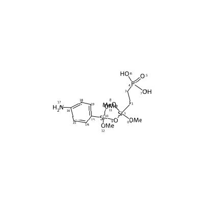 CO[Si](CCP(=O)(O)O)(OC)O[Si](OC)(OC)c1ccc(N)cc1